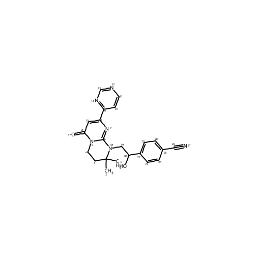 CC1(C)CCn2c(nc(-c3ccncn3)cc2=O)N1CC(O)c1ccc(C#N)cc1